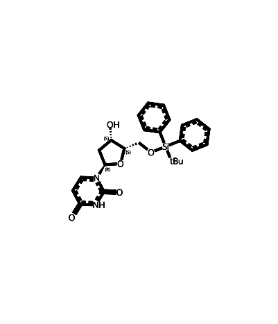 CC(C)(C)[Si](OC[C@@H]1O[C@@H](n2ccc(=O)[nH]c2=O)C[C@@H]1O)(c1ccccc1)c1ccccc1